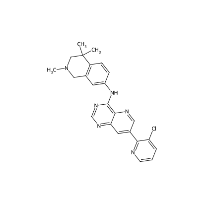 CN1Cc2cc(Nc3ncnc4cc(-c5ncccc5Cl)cnc34)ccc2C(C)(C)C1